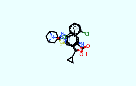 Cc1cc(C(=O)O)cc2sc(N3C4CC(NCc5c(-c6c(Cl)cccc6Cl)noc5C5CC5)CC3C4)nc12